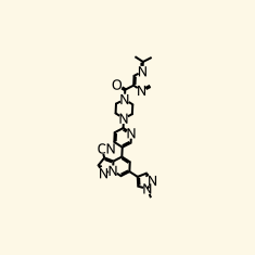 C=N/C(=C\N=C(C)C)C(=O)N1CCN(c2ccc(-c3cc(-c4cnn(C)c4)cn4ncc(C#N)c34)cn2)CC1